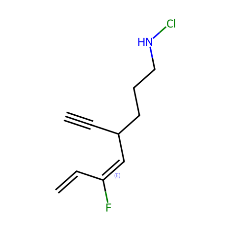 C#CC(/C=C(/F)C=C)CCCNCl